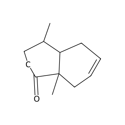 CC1CCC(=O)C2(C)CC=CCC12